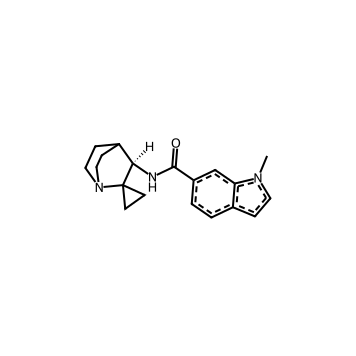 Cn1ccc2ccc(C(=O)N[C@@H]3C4CCN(CC4)C34CC4)cc21